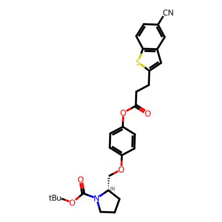 CC(C)(C)OC(=O)N1CCC[C@H]1COc1ccc(OC(=O)CCc2cc3cc(C#N)ccc3s2)cc1